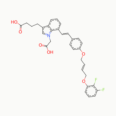 O=C(O)CCCc1cn(CC(=O)O)c2c(/C=C/c3ccc(OC/C=C/COc4cccc(F)c4F)cc3)cccc12